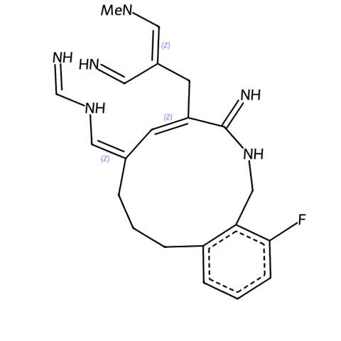 CN/C=C(\C=N)C/C1=C/C(=C\NC=N)CCCc2cccc(F)c2CNC1=N